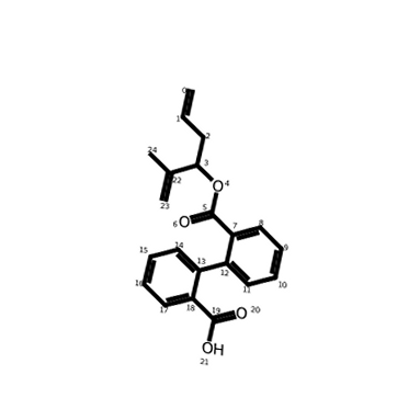 C=CCC(OC(=O)c1ccccc1-c1ccccc1C(=O)O)C(=C)C